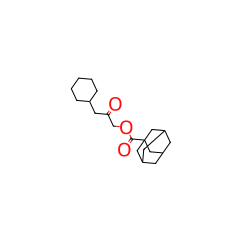 O=C(COC(=O)C12CC3CC(CC(C3)C1)C2)CC1CCCCC1